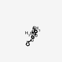 COc1cccc2c(=O)n(-c3ccc(OCCCN4CCCCC4)cc3)c(C)nc12